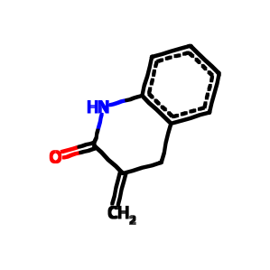 C=C1Cc2ccccc2NC1=O